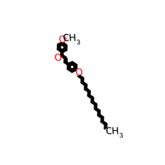 CCCCCCCCCCCCCCCCCCOc1ccc(/C=C/C(=O)c2ccc(OC)cc2)cc1